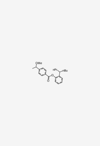 CCCCC(CCC)c1ccccc1OC(=O)c1ccc(C(C)OC)cc1